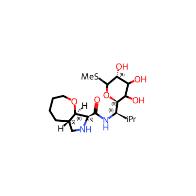 CSC1O[C@H]([C@H](NC(=O)[C@H]2NC[C@@H]3CCCCO[C@H]32)C(C)C)C(O)C(O)[C@H]1O